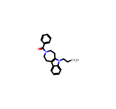 CCOC(=O)CCn1c2c(c3ccccc31)CCN(C(=O)c1ccccc1)CC2